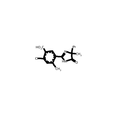 Cc1cc(Cl)c(C(=O)O)cc1C1=NC(C)(C(C)C)C(=O)N1